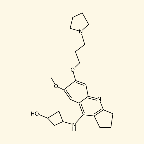 COc1cc2c(NC3CC(O)C3)c3c(nc2cc1OCCCN1CCCC1)CCC3